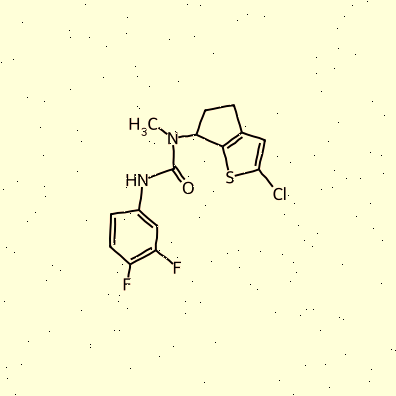 CN(C(=O)Nc1ccc(F)c(F)c1)C1CCc2cc(Cl)sc21